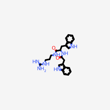 N=C(N)NCCCNC(=O)C(Cc1c[nH]c2ccccc12)NC(=O)Cc1c[nH]c2ccccc12